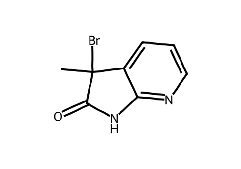 CC1(Br)C(=O)Nc2ncccc21